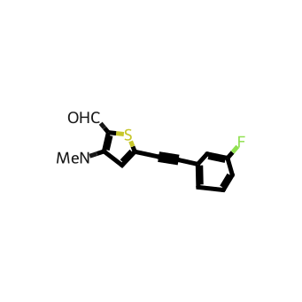 CNc1cc(C#Cc2cccc(F)c2)sc1C=O